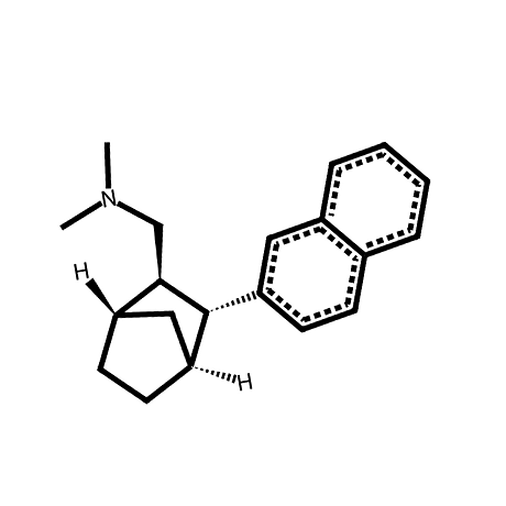 CN(C)C[C@@H]1[C@H]2CC[C@@H](C2)[C@H]1c1ccc2ccccc2c1